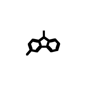 Cc1ccc2c(c1)-c1ccccc1C2C